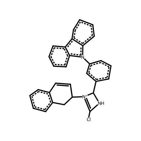 ClC1=[N+](C2C=Cc3ccccc3C2)C(c2cccc(-n3c4ccccc4c4ccccc43)c2)N1